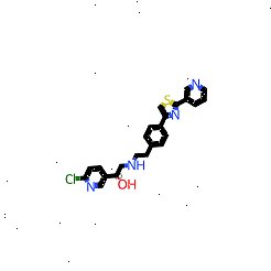 O[C@@H](CNCCc1ccc(-c2csc(-c3cccnc3)n2)cc1)c1ccc(Cl)nc1